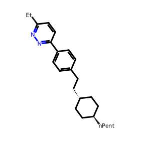 CCCCC[C@H]1CC[C@H](CCc2ccc(-c3ccc(CC)nn3)cc2)CC1